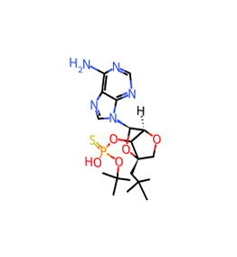 CC(C)(C)C[C@]12CO[C@@H](C1OP(O)(=S)OC(C)(C)C)[C@H](n1cnc3c(N)ncnc31)O2